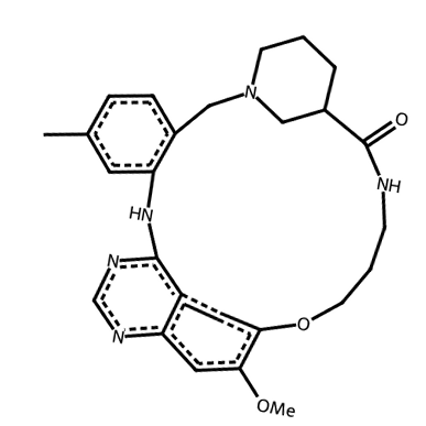 COc1cc2ncnc3c2cc1OCCCNC(=O)C1CCCN(Cc2ccc(C)cc2N3)C1